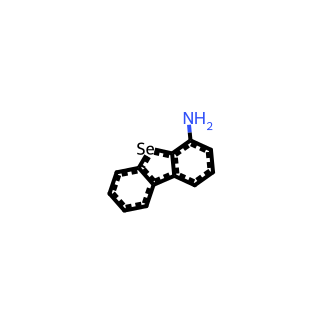 Nc1cccc2c1[se]c1ccccc12